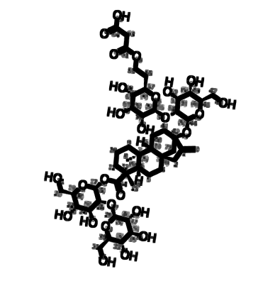 C=C1C[C@@]23CC[C@H]4[C@@](C)(CCC[C@@]4(C)C(=O)O[C@@H]4O[C@H](CO)[C@@H](O)[C@H](O)[C@H]4O[C@@H]4O[C@H](CO)[C@@H](O)[C@H](O)[C@H]4O)[C@@H]2CC[C@@]1(O[C@@H]1O[C@H](CO)[C@@H](O)[C@H](O)[C@H]1O[C@@H]1O[C@H](CCOC(=O)CC(=O)O)[C@@H](O)[C@H](O)[C@H]1O)C3